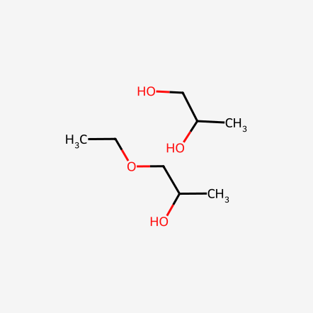 CC(O)CO.CCOCC(C)O